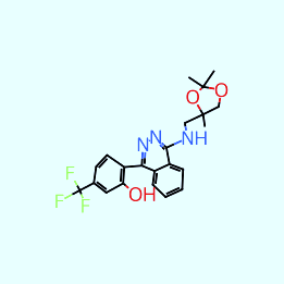 CC1(CNc2nnc(-c3ccc(C(F)(F)F)cc3O)c3ccccc23)COC(C)(C)O1